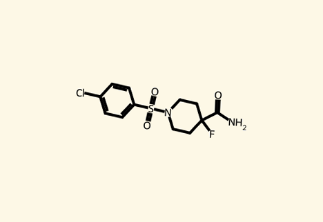 NC(=O)C1(F)CCN(S(=O)(=O)c2ccc(Cl)cc2)CC1